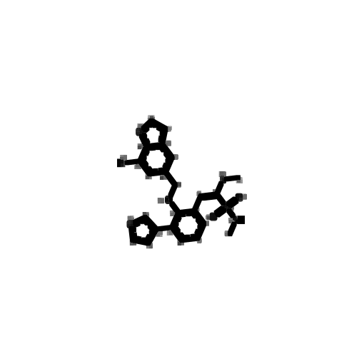 CNS(=O)(=O)C(=Cc1cccc(-c2ccoc2)c1OCc1cc(Br)c2occc2c1)SC